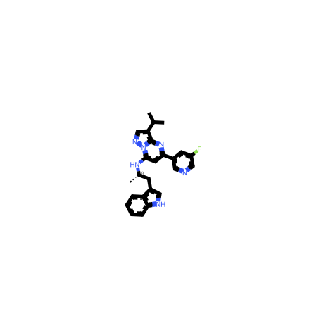 CC(C)c1cnn2c(N[C@@H](C)Cc3c[nH]c4ccccc34)cc(-c3cncc(F)c3)nc12